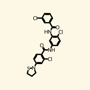 O=C(Nc1cc(NC(=O)c2ccc(N3CCCS3)cc2Cl)ccc1Cl)c1cccc(Cl)c1